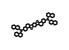 c1ccc2cc(N(c3ccc4c(ccc5c6cc7oc8c9ccc(N(c%10ccc%11ccccc%11c%10)c%10cccc%11ccccc%10%11)cc9ccc8c7cc6oc45)c3)c3cccc4ccccc34)ccc2c1